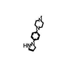 CN1CCN(c2ccc(N3CC=CN3)cc2)CC1